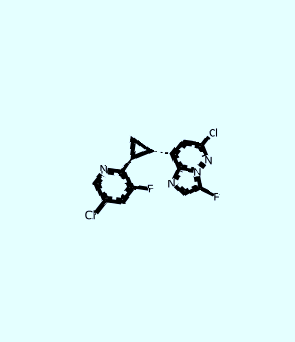 Fc1cc(Cl)cnc1[C@H]1C[C@@H]1c1cc(Cl)nn2c(F)cnc12